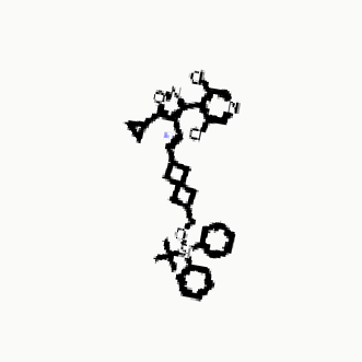 CC(C)(C)[Si](OCC1CC2(CC(/C=C/c3c(-c4c(Cl)cncc4Cl)noc3C3CC3)C2)C1)(c1ccccc1)c1ccccc1